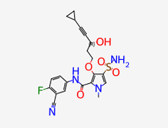 Cn1cc(S(N)(=O)=O)c(OCC[C@@H](O)C#CC2CC2)c1C(=O)Nc1ccc(F)c(C#N)c1